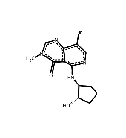 Cn1cnc2c(Br)cnc(N[C@H]3COC[C@@H]3O)c2c1=O